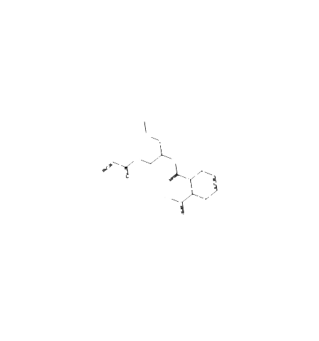 C=CC(=O)OCC(COC)OC(=O)C1CC=CCC1C(=O)O